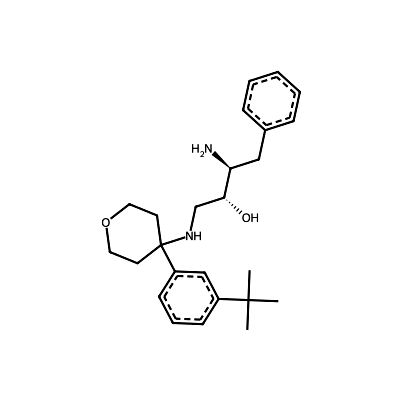 CC(C)(C)c1cccc(C2(NC[C@@H](O)[C@@H](N)Cc3ccccc3)CCOCC2)c1